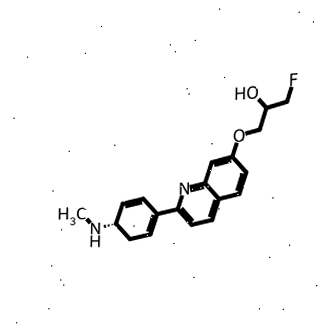 CN[C@@H]1C=CC(c2ccc3ccc(OCC(O)CF)cc3n2)=CC1